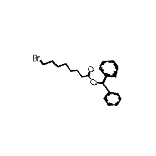 O=C(CCCCCCCBr)OC(c1ccccc1)c1ccccc1